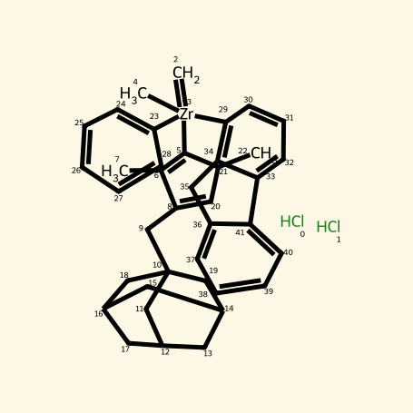 Cl.Cl.[CH2]=[Zr]([CH3])([C]1=C(C)C(CC23CC4CC(CC(C4)C2)C3)=CC1C)([c]1ccccc1)[c]1cccc2c1Cc1ccccc1-2